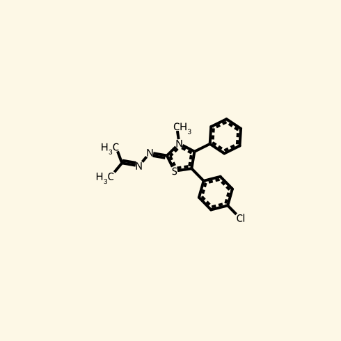 CC(C)=N/N=c1\sc(-c2ccc(Cl)cc2)c(-c2ccccc2)n1C